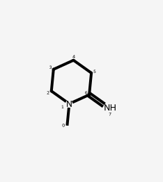 CN1CCCCC1=N